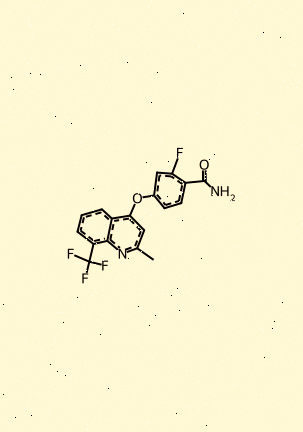 Cc1cc(Oc2ccc(C(N)=O)c(F)c2)c2cccc(C(F)(F)F)c2n1